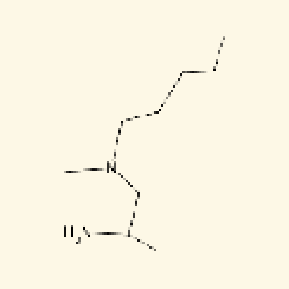 CCCCCN(C)CC(C)N